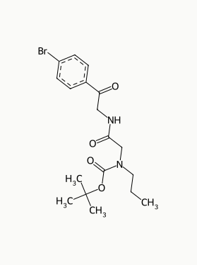 CCCN(CC(=O)NCC(=O)c1ccc(Br)cc1)C(=O)OC(C)(C)C